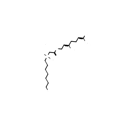 CCCCCCCC[N+](C)(C)CC(=O)OC/C=C(\C)CCC=C(C)C.[Br-]